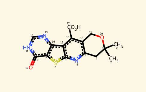 CC1(C)Cc2nc3sc4c(=O)[nH]cnc4c3c(C(=O)O)c2CO1